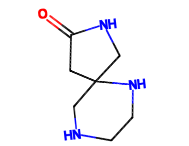 O=C1CC2(CNCCN2)CN1